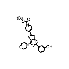 CC(C)(C)OC(=O)N1CC=C(c2cc3nc(-c4cccc(O)c4)nc(N4CCOCC4)c3s2)CC1